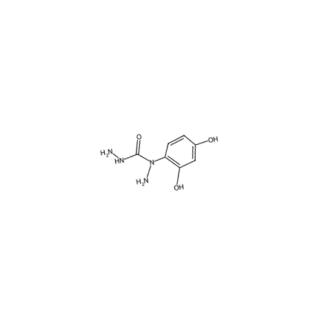 NNC(=O)N(N)c1ccc(O)cc1O